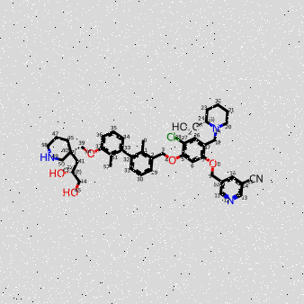 Cc1c(COc2cc(OCc3cncc(C#N)c3)c(CN3CCCC[C@H]3C(=O)O)cc2Cl)cccc1-c1cccc(OC[C@@]2(C[C@@H](O)CO)CCCNC2)c1C